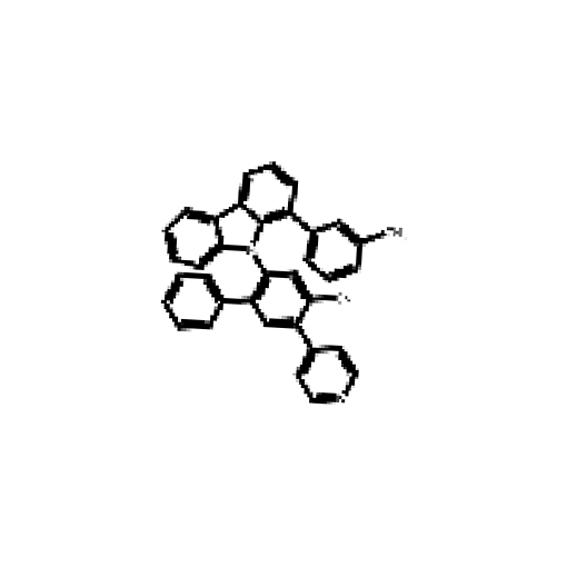 Cc1cccc(-c2cccc3c4ccccc4n(-c4cc(C#N)c(-c5ccncc5)cc4-c4ccccc4)c23)c1